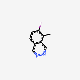 Cc1c(I)ccc2cnncc12